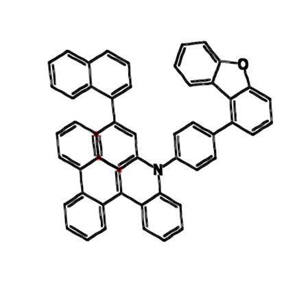 c1cc(-c2cccc3ccccc23)cc(N(c2ccc(-c3cccc4oc5ccccc5c34)cc2)c2ccccc2-c2cc3ccccc3c3ccccc23)c1